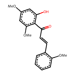 COc1cc(O)c(C(=O)C=Cc2ccccc2OC)c(OC)c1